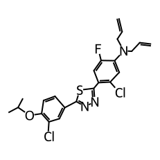 C=CCN(CC=C)c1cc(Cl)c(-c2nnc(-c3ccc(OC(C)C)c(Cl)c3)s2)cc1F